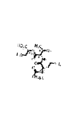 CCCCCCCC(=O)N[C@@H](CCN)C(=O)N[C@H](C(=O)N[C@H](CO)C(=O)O)[C@@H](C)O